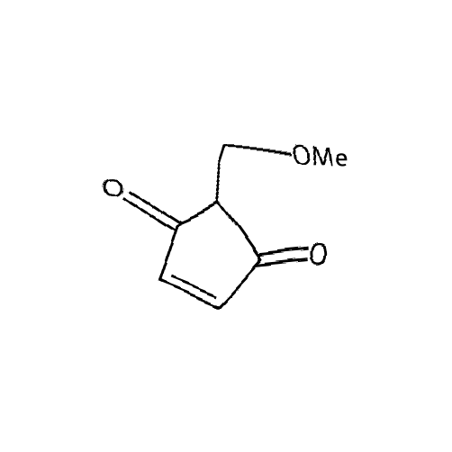 COCC1C(=O)C=CC1=O